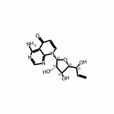 C=C[C@H](O)[C@@H]1O[C@H](n2ccc(=O)c3c(N)ncnc32)[C@@H](O)[C@@H]1O